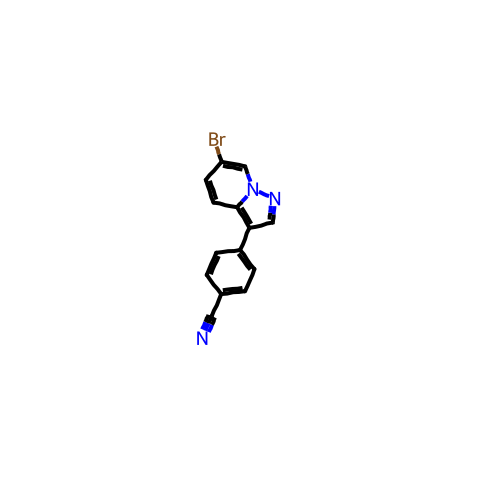 N#Cc1ccc(-c2cnn3cc(Br)ccc23)cc1